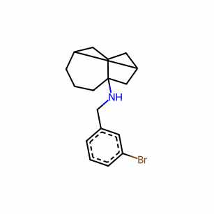 Brc1cccc(CNC23CCCC4CC2CC4C3)c1